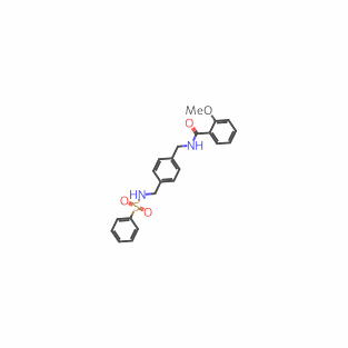 COc1ccccc1C(=O)NCc1ccc(CNS(=O)(=O)c2ccccc2)cc1